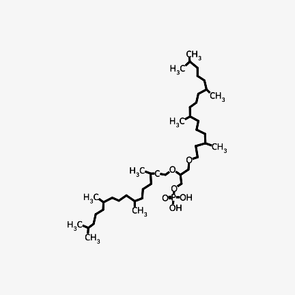 CC(C)CCCC(C)CCCC(C)CCCC(C)CCOCC(COP(=O)(O)O)OCCC(C)CCCC(C)CCCC(C)CCCC(C)C